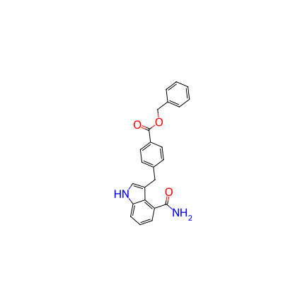 NC(=O)c1cccc2[nH]cc(Cc3ccc(C(=O)OCc4ccccc4)cc3)c12